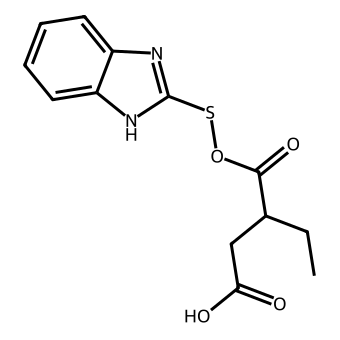 CCC(CC(=O)O)C(=O)OSc1nc2ccccc2[nH]1